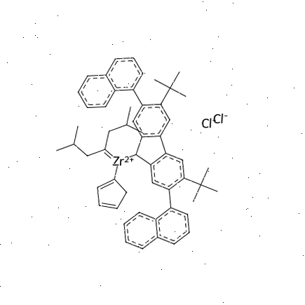 CC(C)C[C](CC(C)C)=[Zr+2]([C]1=CC=CC1)[CH]1c2cc(-c3cccc4ccccc34)c(C(C)(C)C)cc2-c2cc(C(C)(C)C)c(-c3cccc4ccccc34)cc21.[Cl-].[Cl-]